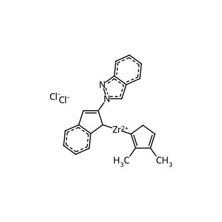 CC1=CC[C]([Zr+2][CH]2C(n3cc4ccccc4n3)=Cc3ccccc32)=C1C.[Cl-].[Cl-]